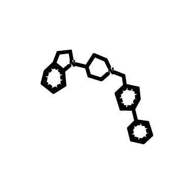 c1ccc(-c2ccc(CN3CCC(N4CCc5ccccc54)CC3)cc2)cc1